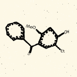 CCc1cc(C(=O)c2ccccc2)c(OC)cc1O